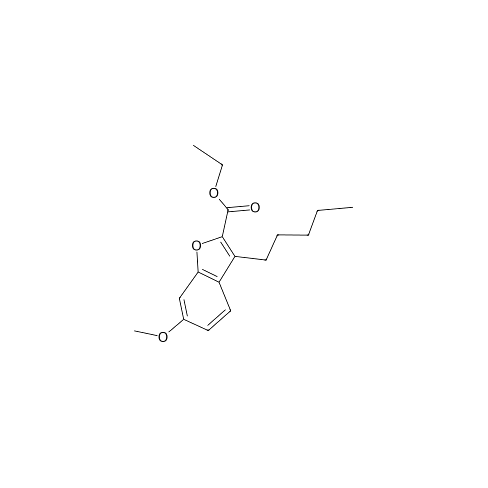 CCCCCc1c(C(=O)OCC)oc2cc(OC)ccc12